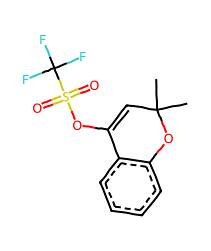 CC1(C)C=C(OS(=O)(=O)C(F)(F)F)c2ccccc2O1